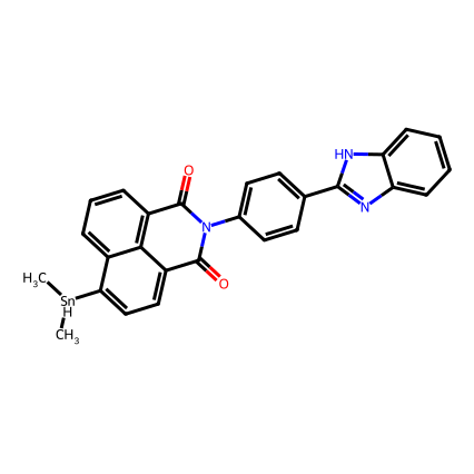 [CH3][SnH]([CH3])[c]1ccc2c3c(cccc13)C(=O)N(c1ccc(-c3nc4ccccc4[nH]3)cc1)C2=O